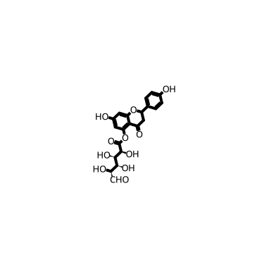 O=C[C@H](O)[C@@H](O)[C@H](O)[C@H](O)C(=O)Oc1cc(O)cc2c1C(=O)CC(c1ccc(O)cc1)O2